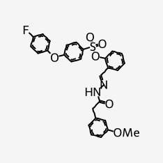 COc1cccc(CC(=O)NN=Cc2ccccc2OS(=O)(=O)c2ccc(Oc3ccc(F)cc3)cc2)c1